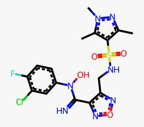 Cc1nn(C)c(C)c1S(=O)(=O)NCc1nonc1C(=N)N(O)c1ccc(F)c(Cl)c1